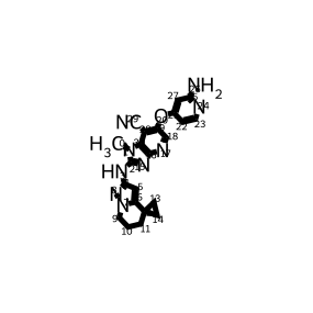 Cn1c(Nc2cc3n(n2)CCCC32CC2)nc2ncc(Oc3ccnc(N)c3)c(C#N)c21